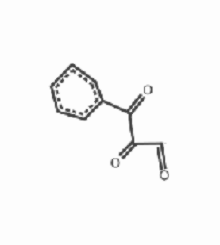 O=[C]C(=O)C(=O)c1ccccc1